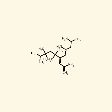 C=C(N)/C=C(\CN(N)CC(C)N)C(C)(C)CC(C)(C)C(C)C